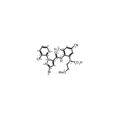 COCCN(C(=O)O)c1cc(C#N)cc(C)c1NC(=O)c1cc(Br)nn1-c1ncccc1Cl